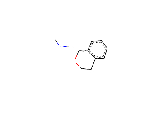 CNC[C@H]1OC[C@@H](F)c2ccccc21